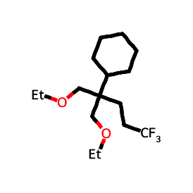 CCOCC(CCC(F)(F)F)(COCC)C1CCCCC1